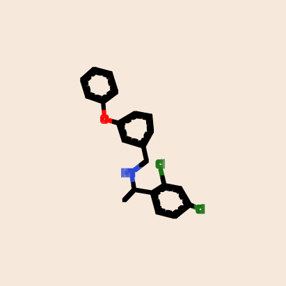 CC(NCc1cccc(Oc2ccccc2)c1)c1ccc(Cl)cc1Cl